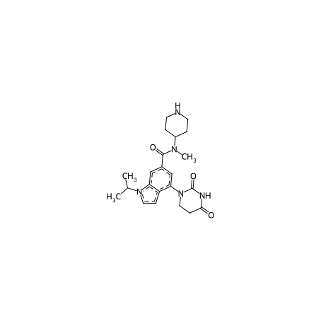 CC(C)n1ccc2c(N3CCC(=O)NC3=O)cc(C(=O)N(C)C3CCNCC3)cc21